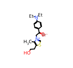 CCN(CC)c1ccc(C(=O)C[n+]2csc(CCO)c2C)cc1.[Br-]